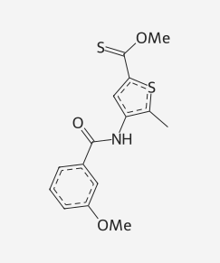 COC(=S)c1cc(NC(=O)c2cccc(OC)c2)c(C)s1